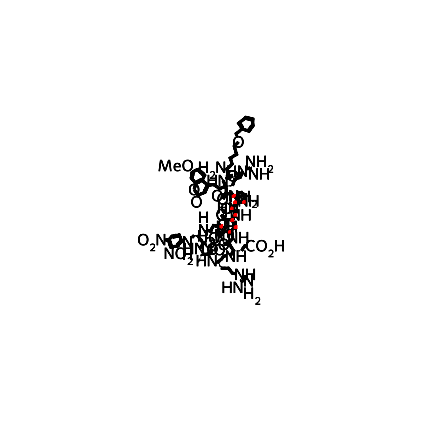 COc1ccc2c(CC(=O)[C@@](CCCNC(=N)N)(NC(=O)[C@@H](N)CCCCOCc3ccccc3)C(=O)N3CCC[C@H]3C(=O)N[C@@H](CC(C)C)C(=O)NCC(=O)N[C@@H](CNc3ccc([N+](=O)[O-])cc3[N+](=O)[O-])C(=O)N[C@@H](C)C(=O)N[C@@H](CCCNC(=N)N)C(=O)N[C@@H](CCC(=O)O)C(=O)N[C@@H](CCCNC(=N)N)C(N)=O)cc(=O)oc2c1